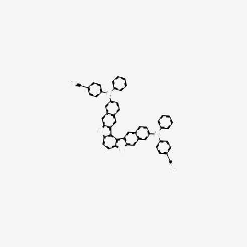 N#Cc1ccc(N(c2ccccc2)c2ccc3cc4c(cc3c2)oc2ccc3oc5cc6cc(N(c7ccccc7)c7ccc(C#N)cc7)ccc6cc5c3c24)cc1